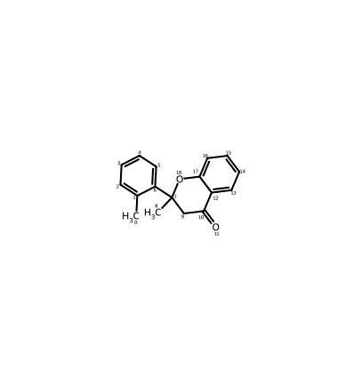 Cc1ccccc1C1(C)CC(=O)c2ccccc2O1